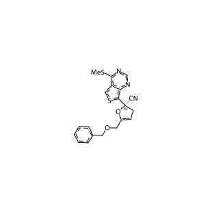 CSc1ncnc2c([C@@]3(C#N)CC=C(COCc4ccccc4)O3)scc12